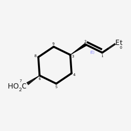 CC/C=C/[C@H]1CC[C@@H](C(=O)O)CC1